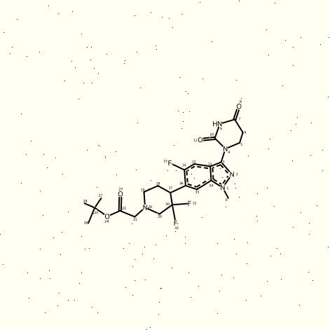 Cn1nc(N2CCC(=O)NC2=O)c2cc(F)c(C3CCN(CC(=O)OC(C)(C)C)CC3(F)F)cc21